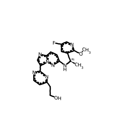 COc1ncc(F)cc1[C@@H](C)Nc1ccc2ncc(-c3nccc(CCO)n3)n2n1